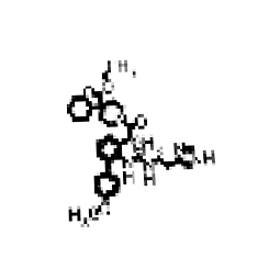 CCOC(=O)C1(C2CCCCC2)CCN(C(=O)C(C)c2cccc(-c3ccc(OC)cc3)c2NC(=O)NCCc2c[nH]cn2)CC1